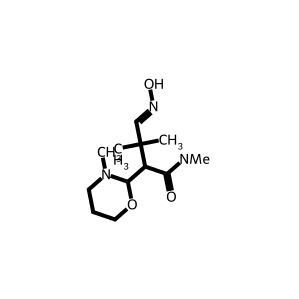 CNC(=O)C(C1OCCCN1C)C(C)(C)C=NO